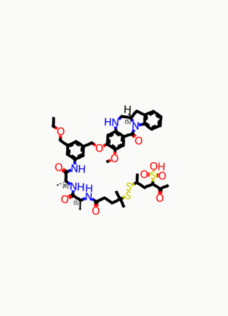 CCOCc1cc(COc2cc3c(cc2OC)C(=O)N2c4ccccc4C[C@H]2CN3)cc(NC(=O)[C@@H](C)NC(=O)[C@H](C)NC(=O)CCC(C)(C)SSC(C)CC(C(C)=O)S(=O)(=O)O)c1